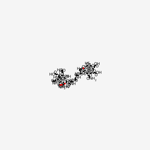 C[C@H](N)C(=O)N[C@@H](CS)C(=O)N[C@@H](CCC(=O)O)C(=O)N[C@@H](CCC(=O)O)C(=O)N[C@@H](CCC(N)=O)C(=O)N[C@@H](CC(N)=O)C(=O)N1CCC[C@H]1C(=O)NCC(=O)NCC(=O)NCC(=O)N[C@@H](CO)C(=O)N[C@@H](C)C(=O)N[C@@H](CS)C(=O)N[C@@H](CCC(=O)O)C(=O)N[C@@H](CCC(=O)O)C(=O)N[C@@H](CCC(N)=O)C(=O)N[C@@H](CC(N)=O)C(=O)N1CCC[C@H]1C(=O)O